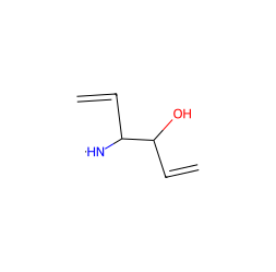 C=CC([NH])C(O)C=C